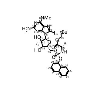 CNc1nc(N)nc2c1nc(I)n2C1O[C@H](COP(=O)(N[C@@H](C)C(=O)OCC(C)(C)C)Oc2cccc3ccccc23)[C@@H](O)[C@@]1(C)O